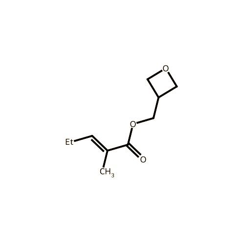 CCC=C(C)C(=O)OCC1COC1